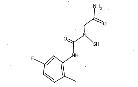 Cc1ccc(F)cc1NC(=O)N(S)CC(N)=O